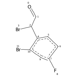 O=CC(Br)c1ccc(F)cc1Br